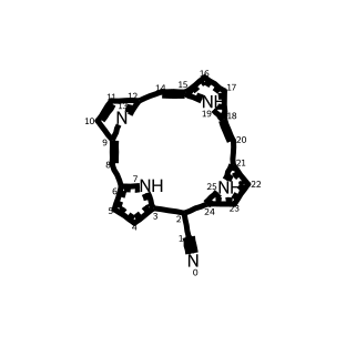 N#CC1c2ccc([nH]2)/C=C2/C=CC(=N2)/C=c2/cc/c([nH]2)=C/c2ccc1[nH]2